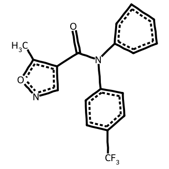 Cc1oncc1C(=O)N(c1ccccc1)c1ccc(C(F)(F)F)cc1